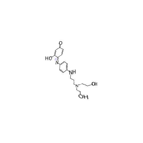 O=C1C=C/C(=N\c2ccc(NCCCN(CCO)CCO)cc2)C(O)=C1